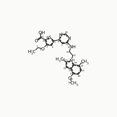 CCOc1cc(-c2cc(NCCn3c(C)cc4c(OC)ccc(C)c43)ncn2)sc1C(=O)O